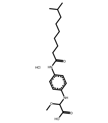 COC(Nc1ccc(NC(=O)CCCCCCC(C)C)cc1)C(=O)O.Cl